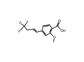 COc1cc(C=CCC(F)(F)F)ccc1C(=O)O